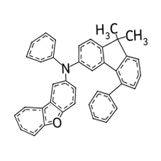 CC1(C)c2ccc(N(c3ccccc3)c3ccc4oc5ccccc5c4c3)cc2-c2c(-c3ccccc3)cccc21